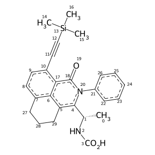 C[C@H](NC(=O)O)c1c2c3c(ccc(C#C[Si](C)(C)C)c3c(=O)n1-c1ccccc1)CCC2